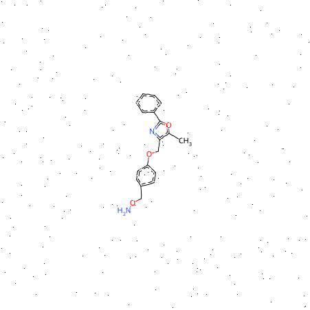 Cc1oc(-c2ccccc2)nc1COc1ccc(CON)cc1